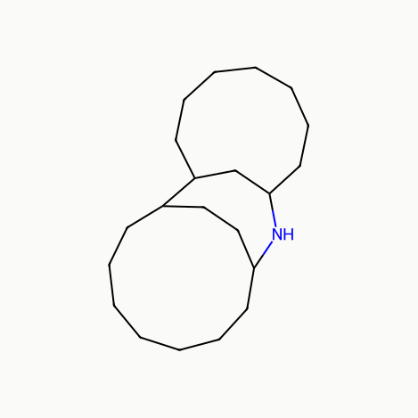 C1CCCC2CCC(CCC1)C1CCCCCCCC(C1)N2